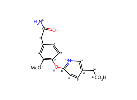 COc1cc(CC(N)=O)ccc1Oc1ccc(CC(=O)O)cn1